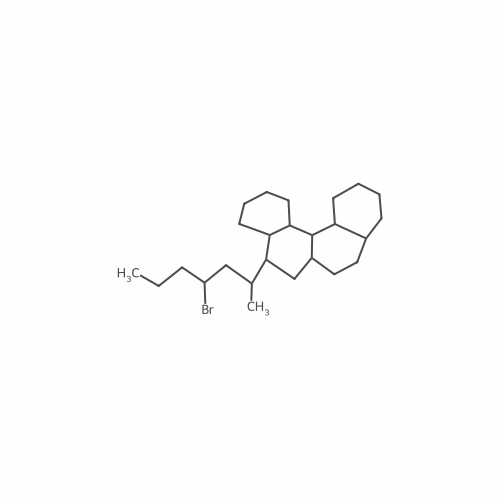 CCCC(Br)CC(C)C1CC2CCC3CCCCC3C2C2CCCCC12